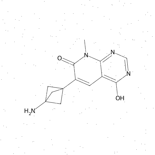 Cn1c(=O)c(C23CC(N)(C2)C3)cc2c(O)ncnc21